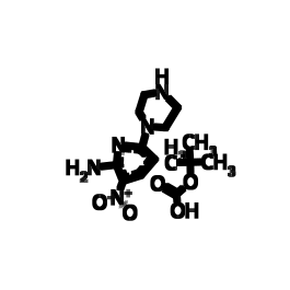 CC(C)(C)OC(=O)O.Nc1nc(N2CCNCC2)ccc1[N+](=O)[O-]